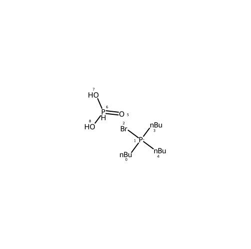 CCCC[P](Br)(CCCC)CCCC.O=[PH](O)O